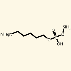 CCCCCCCCCCCCOP(=O)(O)O[SiH3]